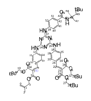 C=C(C)COC(=O)/C(=C/c1ccc(Nc2nc(Nc3ccc(C=C(C(=O)OCC(C)(C)C)C(=O)OCC(C)(C)C)cc3)nc(Nc3ccc(C(=O)NC(C)(C)CC(C)(C)C)cc3)n2)cc1)C(=O)OCC(C)(C)C